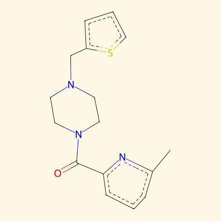 Cc1cccc(C(=O)N2CCN(Cc3cccs3)CC2)n1